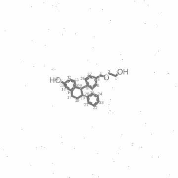 OCCOCc1ccc(C2c3ccc(O)cc3CC[C@@H]2c2ccccc2)cc1